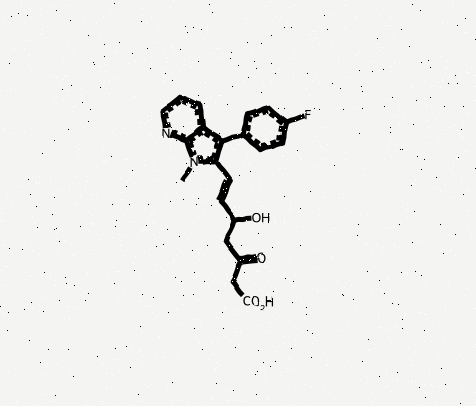 Cn1c(C=CC(O)CC(=O)CC(=O)O)c(-c2ccc(F)cc2)c2cccnc21